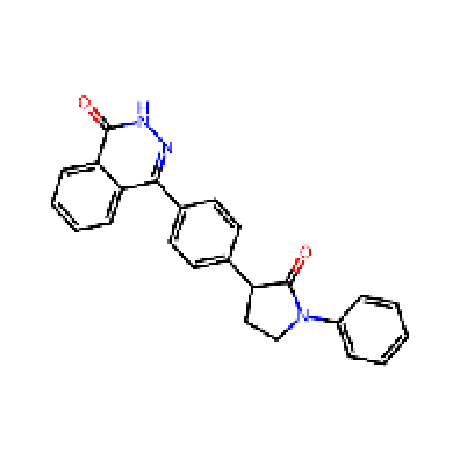 O=C1C(c2ccc(-c3n[nH]c(=O)c4ccccc34)cc2)CCN1c1ccccc1